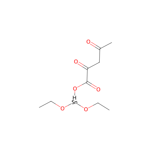 CC[O][SnH]([O]CC)[O]C(=O)C(=O)CC(C)=O